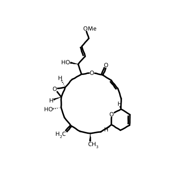 C=C1C[C@H](C)C[C@@H]2CC=C[C@@H](C/C=C\C(=O)OC([C@@H](O)/C=C/COC)C[C@@H]3O[C@H]3[C@@H](O)C1)O2